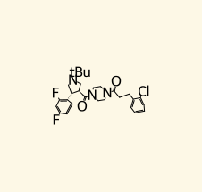 CC(C)(C)N1C[C@@H](C(=O)N2CCN(C(=O)CCc3ccccc3Cl)CC2)[C@H](c2ccc(F)cc2F)C1